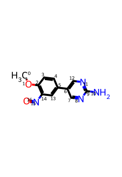 COc1ccc(-c2cnc(N)nc2)cc1N=O